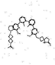 COc1nc(-c2cccc(-c3cccc(-c4cc5c(c(OC)n4)[C@@H](N4CC6(CN(C(C)=O)C6)C4)CC5)c3C)c2C)cnc1CN1CC2(CCC(=O)N2)C1